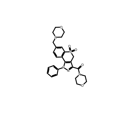 O=C(c1nn(-c2ccccc2)c2c1CS(=O)(=O)c1cc(CN3CCOCC3)ccc1-2)N1CCOCC1